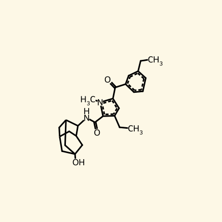 CCc1cccc(C(=O)c2cc(CC)c(C(=O)NC3C4CC5CC3CC(O)(C5)C4)n2C)c1